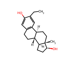 CCc1cc2c(cc1O)CC[C@@H]1[C@@H]2CC[C@]2(C)[C@@H](O)CC[C@@H]12